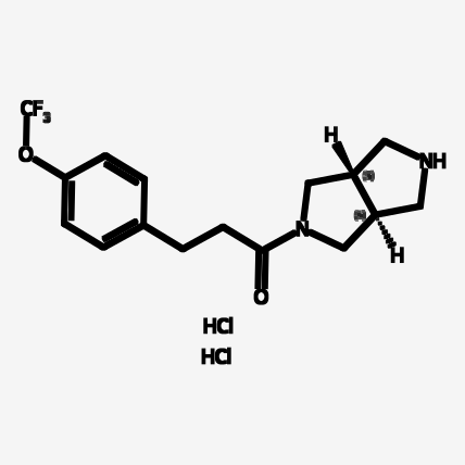 Cl.Cl.O=C(CCc1ccc(OC(F)(F)F)cc1)N1C[C@@H]2CNC[C@H]2C1